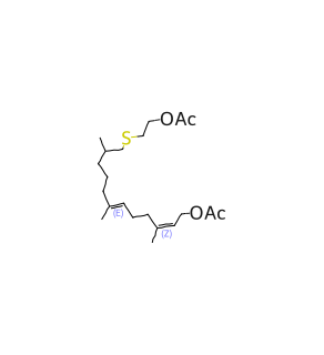 CC(=O)OC/C=C(/C)CC/C=C(\C)CCCC(C)CSCCOC(C)=O